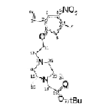 C=Cc1cc([N+](=O)[O-])c(C)cc1OCCN1C[C@@H](C)N(CC(=O)OC(C)(C)C)[C@@H](C)C1